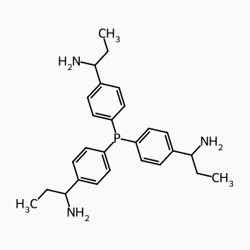 CCC(N)c1ccc(P(c2ccc(C(N)CC)cc2)c2ccc(C(N)CC)cc2)cc1